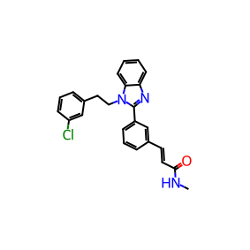 CNC(=O)/C=C/c1cccc(-c2nc3ccccc3n2CCc2cccc(Cl)c2)c1